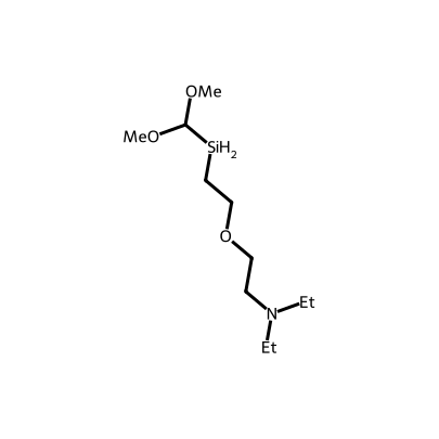 CCN(CC)CCOCC[SiH2]C(OC)OC